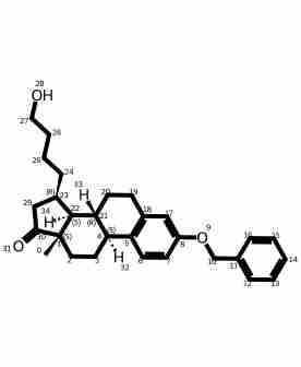 C[C@]12CC[C@@H]3c4ccc(OCc5ccccc5)cc4CC[C@H]3[C@@H]1[C@H](CCCCO)CC2=O